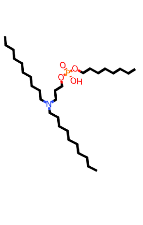 CCCCCCCCCCN(CCCCCCCCCC)CCCOP(=O)(O)OCCCCCCCC